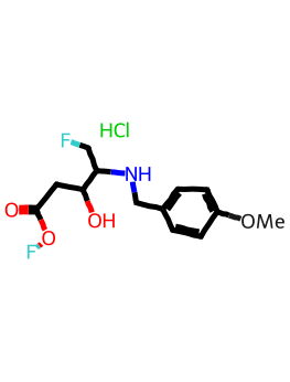 COc1ccc(CNC(CF)C(O)CC(=O)OF)cc1.Cl